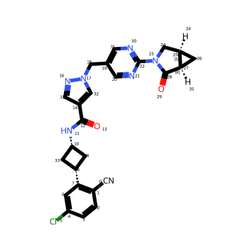 N#Cc1ccc(Cl)cc1[C@H]1C[C@@H](NC(=O)c2cnn(Cc3cnc(N4C[C@H]5C[C@H]5C4=O)nc3)c2)C1